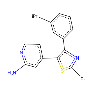 CCc1nc(-c2cccc(C(C)C)c2)c(-c2ccnc(N)c2)s1